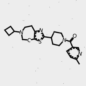 Cc1ccc(C(=O)N2CCC(c3nc4c(s3)CCN(C3CCC3)CC4)CC2)cn1